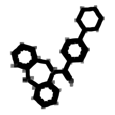 O=C(c1ccc(C2CCCCC2)cc1)N1Cc2cccnc2Nc2ccccc21